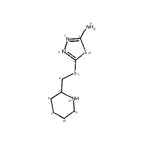 Nc1nnc(SCC2CCCCN2)s1